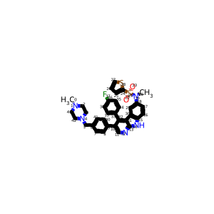 CN1CCN(Cc2ccc(-c3cnc4[nH]c5ccc(N(C)S(=O)(=O)c6cccs6)cc5c4c3-c3ccc(F)cc3)cc2)CC1